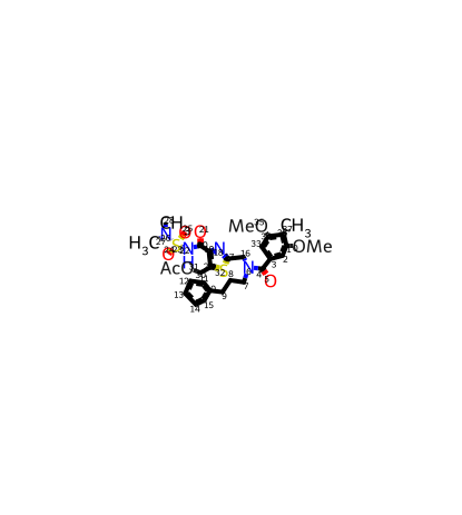 COc1cc(C(=O)N(CCCc2ccccc2)Cc2nc(C(=O)NS(=O)(=O)N(C)C)c(COC(C)=O)s2)cc(OC)c1C